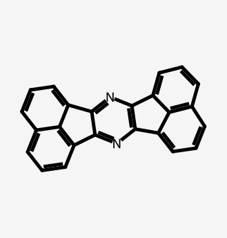 c1cc2cccc3c4nc5c6cccc7cccc(c5nc4c(c1)c23)c76